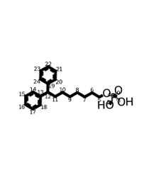 O=P(O)(O)OCCCCCCCC(c1ccccc1)c1ccccc1